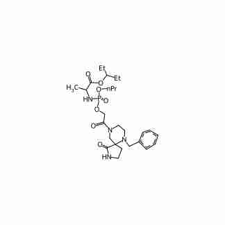 CCCOP(=O)(NC(C)C(=O)OC(CC)CC)OCC(=O)N1CCN(Cc2ccccc2)C2(CCNC2=O)C1